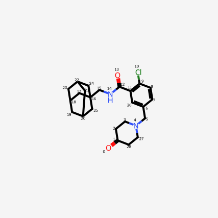 O=C1CCN(Cc2ccc(Cl)c(C(=O)NCC34CC5CC(CC(C5)C3)C4)c2)CC1